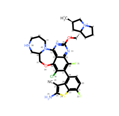 C[C@H]1CN2CCC[C@@]2(COc2nc3c4c(c(Cl)c(-c5ccc(F)c6sc(N)c(C#N)c56)c(F)c4n2)OCC2CNCCCN32)C1